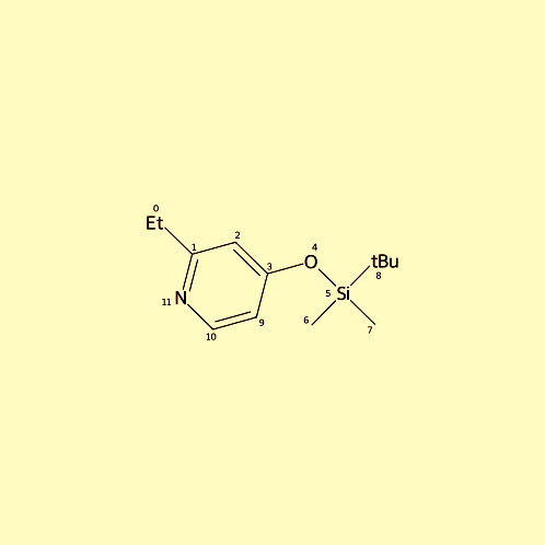 CCc1cc(O[Si](C)(C)C(C)(C)C)ccn1